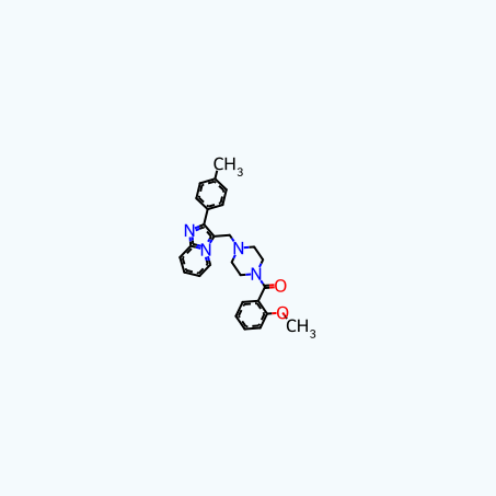 COc1ccccc1C(=O)N1CCN(Cc2c(-c3ccc(C)cc3)nc3ccccn23)CC1